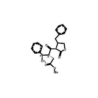 C[C@@H](c1ccccc1)[C@@H](CC(=O)OC(C)(C)C)C(=O)N1C(=O)OCC1Cc1ccccc1